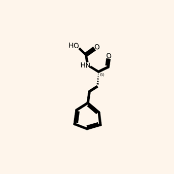 O=C[C@H](CCc1ccccc1)NC(=O)O